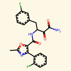 Cc1nc(-c2ccccc2F)c(C(=O)NC(Cc2cccc(F)c2)C(=O)C(N)=O)o1